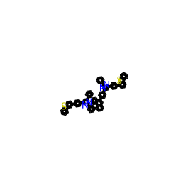 c1ccc(-c2cc(-c3ccc(-c4ccc5sc6ccccc6c5c4)cc3)nc(-c3cccc(-c4cccc5cc(-c6ccc(-c7cc(-c8ccc(-c9cccc%10c9sc9ccccc9%10)cc8)nc(-c8ccccc8)n7)cc6)c6ccccc6c45)c3)n2)cc1